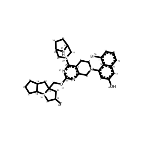 Oc1cc(N2CCc3c(nc(OCC45CC(F)CN4C4CCCC4C5)nc3N3CC4CCC(C3)N4)C2)c2c(Br)cccc2c1